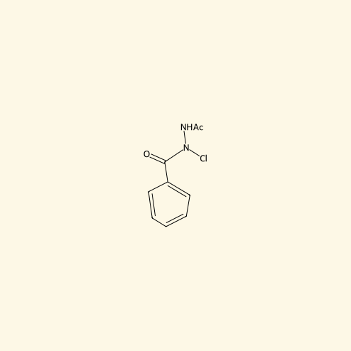 CC(=O)NN(Cl)C(=O)c1ccccc1